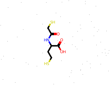 O=C(CS)NC(CCS)C(=O)O